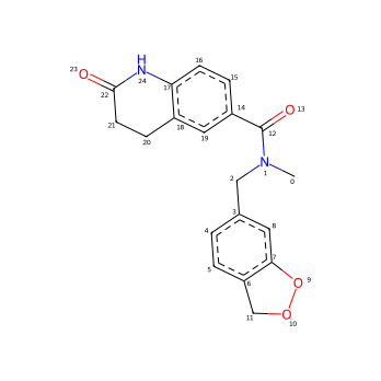 CN(Cc1ccc2c(c1)OOC2)C(=O)c1ccc2c(c1)CCC(=O)N2